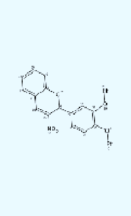 CCOc1ccc(C2Oc3ccccc3C=C2[N+](=O)[O-])cc1OCC